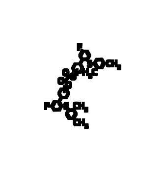 Cc1ccc(Sc2ccc(F)cc2C2CCN(OC(=O)C(=O)ON3CCC(c4cc(F)ccc4Sc4ccc(C)cc4C)CC3)CC2)c(C)c1